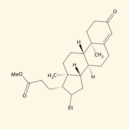 CCC1C[C@H]2[C@@H]3CCC4=CC(=O)CC[C@]4(C)[C@H]3CC[C@]2(C)[C@H]1CCC(=O)OC